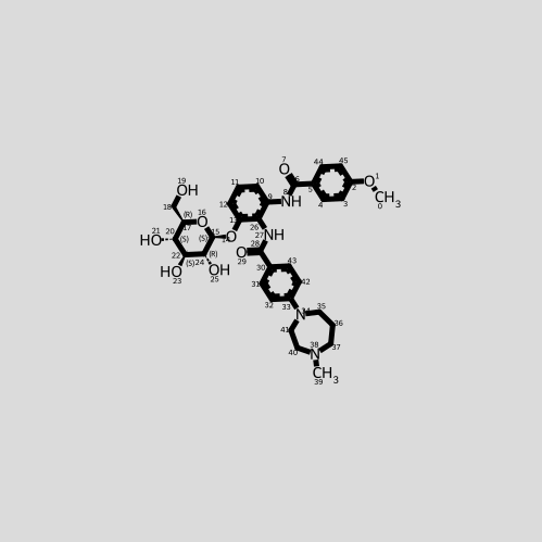 COc1ccc(C(=O)Nc2cccc(O[C@@H]3O[C@H](CO)[C@@H](O)[C@H](O)[C@H]3O)c2NC(=O)c2ccc(N3CCCN(C)CC3)cc2)cc1